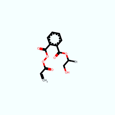 C=CC(=O)OOC(=O)c1ccccc1C(=O)OC(CC)CO